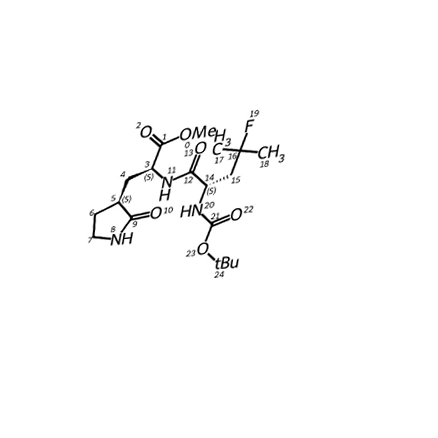 COC(=O)[C@H](C[C@@H]1CCNC1=O)NC(=O)[C@H](CC(C)(C)F)NC(=O)OC(C)(C)C